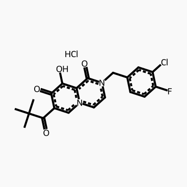 CC(C)(C)C(=O)c1cn2ccn(Cc3ccc(F)c(Cl)c3)c(=O)c2c(O)c1=O.Cl